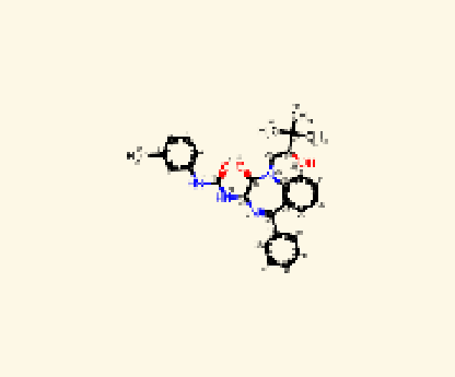 Cc1cccc(NC(=O)N[C@@H]2N=C(c3ccccc3)c3ccccc3N(C[C@H](O)C(C)(C)C)C2=O)c1